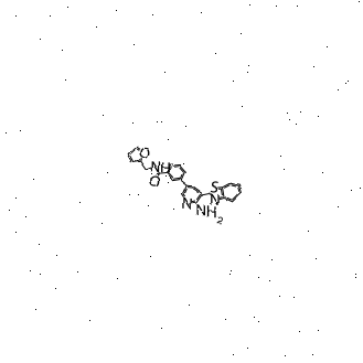 Nc1ncc(-c2cccc(C(=O)NCc3ccco3)c2)cc1-c1nc2ccccc2s1